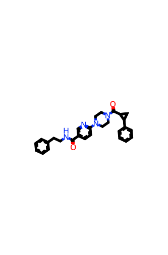 O=C(NCCc1ccccc1)c1ccc(N2CCN(C(=O)C3CC3c3ccccc3)CC2)nc1